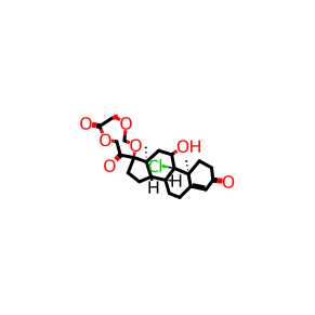 COCO[C@]1(C(=O)COC(C)=O)CC[C@H]2[C@@H]3CCC4=CC(=O)CC[C@]4(C)[C@@]3(Cl)C(O)C[C@@]21C